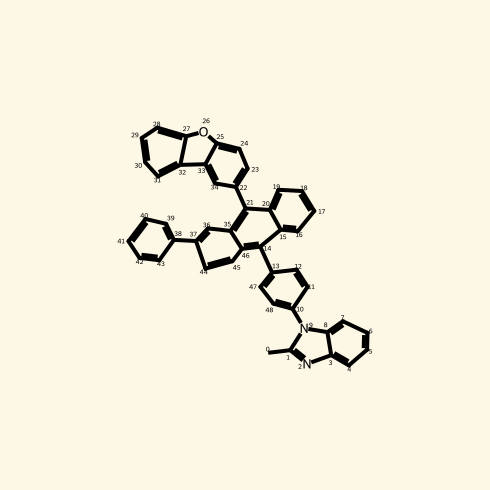 Cc1nc2ccccc2n1-c1ccc(-c2c3ccccc3c(-c3ccc4oc5ccccc5c4c3)c3cc(-c4ccccc4)ccc23)cc1